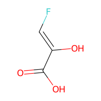 O=C(O)C(O)=CF